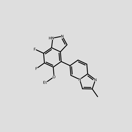 CCOc1c(F)c(F)c2[nH]ncc2c1-c1ccc2nc(C)cn2c1